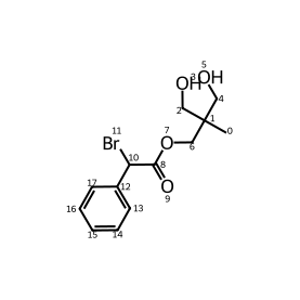 CC(CO)(CO)COC(=O)C(Br)c1ccccc1